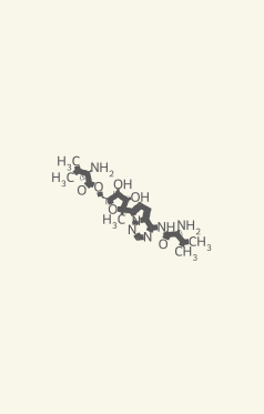 CC(C)[C@H](N)C(=O)Nc1ncnn2c([C@]3(C)O[C@H](COC(=O)[C@@H](N)C(C)C)[C@@H](O)[C@H]3O)ccc12